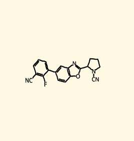 N#Cc1cccc(-c2ccc3oc(C4CCCN4C#N)nc3c2)c1F